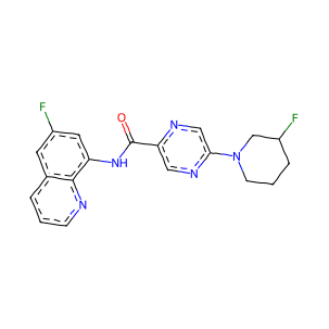 O=C(Nc1cc(F)cc2cccnc12)c1cnc(N2CCCC(F)C2)cn1